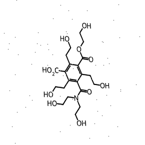 O=C(O)c1c(CCO)c(C(=O)OCCO)c(CCO)c(C(=O)N(CCO)CCO)c1CCO